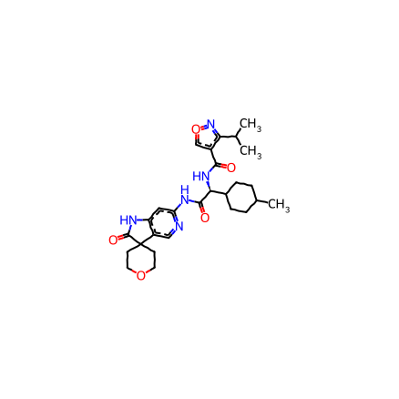 CC1CCC([C@H](NC(=O)c2conc2C(C)C)C(=O)Nc2cc3c(cn2)C2(CCOCC2)C(=O)N3)CC1